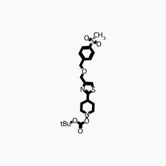 CC(C)(C)OC(=O)ON1CCC(c2nc(COCc3ccc(S(C)(=O)=O)cc3)cs2)CC1